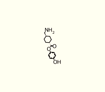 NC[C@H]1CC[C@H](C(=O)Oc2ccc(O)cc2)CC1